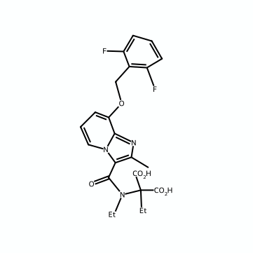 CCN(C(=O)c1c(C)nc2c(OCc3c(F)cccc3F)cccn12)C(CC)(C(=O)O)C(=O)O